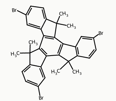 CC1(C)c2ccc(Br)cc2-c2c1c1c(c3c2C(C)(C)c2ccc(Br)cc2-3)C(C)(C)c2ccc(Br)cc2-1